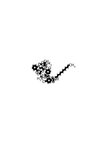 CCCCCCCCCCCCNS(=O)(=O)c1ccc(Cl)c(NS(=O)(=O)c2ccc(Cl)c(NC(=O)C(c3nc4ccccc4c(=O)n3CC(=O)OCC)N3C(=O)OC(C)(C)C3=O)c2)c1